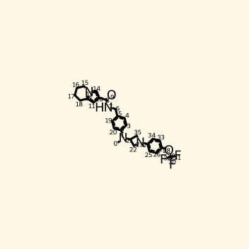 CN(c1ccc(CNC(=O)c2cc3n(c2)CCCC3)cc1)C1CN(c2ccc(OC(F)(F)F)cc2)C1